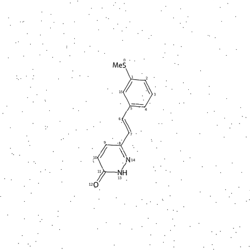 CSc1cccc(/C=C/c2ccc(=O)[nH]n2)c1